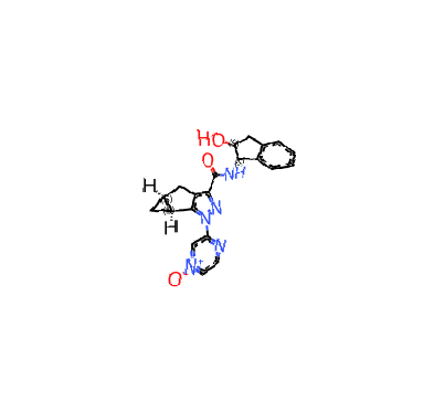 O=C(N[C@H]1c2ccccc2C[C@@H]1O)c1nn(-c2c[n+]([O-])ccn2)c2c1C[C@@H]1C[C@H]21